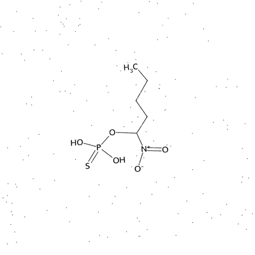 CCCCC(OP(O)(O)=S)[N+](=O)[O-]